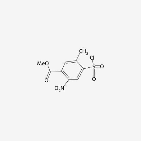 COC(=O)c1cc(C)c(S(=O)(=O)Cl)cc1[N+](=O)[O-]